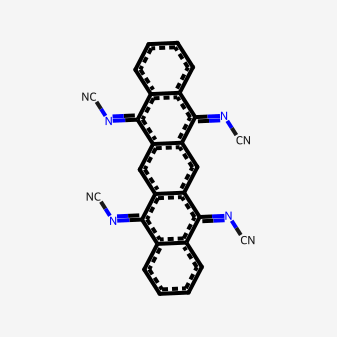 N#CN=c1c2ccccc2c(=NC#N)c2cc3c(=NC#N)c4ccccc4c(=NC#N)c3cc12